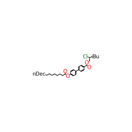 CCCCCCCCCCCCCCCCCC(=O)Oc1ccc(-c2ccc(C(=O)OCC(Cl)C(C)CC)cc2)cc1